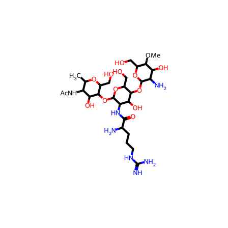 COC1C(CO)OC(OC2C(CO)OC(OC3C(CO)OC(C)C(NC(C)=O)C3O)C(NC(=O)C(N)CCCNC(=N)N)C2O)C(N)C1O